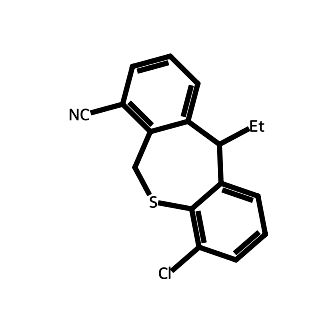 CCC1c2cccc(C#N)c2CSc2c(Cl)cccc21